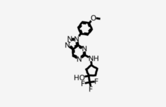 COc1ccc(-n2nnc3cnc(NC4CCC(O)(C(F)(F)F)C4)nc32)cc1